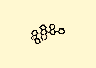 C1=Cc2c(c(-c3ccc(-c4ccccc4)c4ccccc34)c3ccccc3c2-c2cccc3oc4ccccc4c23)CC1